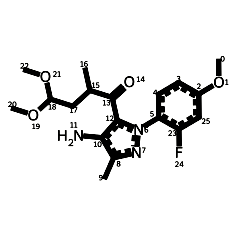 COc1ccc(-n2nc(C)c(N)c2C(=O)C(C)CC(OC)OC)c(F)c1